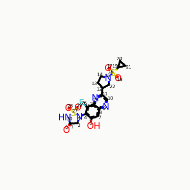 O=C1CN(c2c(O)cc3ncc(C4CCN(S(=O)(=O)C5CC5)C4)nc3c2F)S(=O)(=O)N1